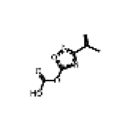 C=C(C)c1noc(OC(=O)O)n1